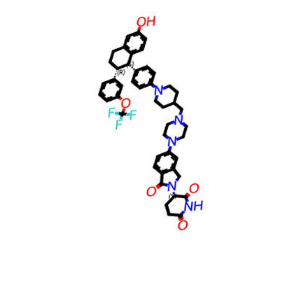 O=C1CC[C@H](N2Cc3cc(N4CCN(CC5CCN(c6ccc([C@H]7c8ccc(O)cc8CC[C@H]7c7cccc(OC(F)(F)F)c7)cc6)CC5)CC4)ccc3C2=O)C(=O)N1